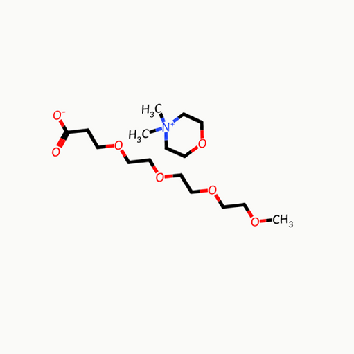 COCCOCCOCCOCCC(=O)[O-].C[N+]1(C)CCOCC1